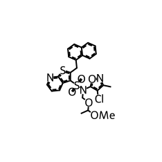 COC(C)OCN(c1onc(C)c1Cl)S(=O)(=O)c1c(Cc2cccc3ccccc23)sc2ncccc12